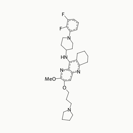 COc1nc2c(NC3CCN(c4cccc(F)c4F)CC3)c3c(nc2cc1OCCCN1CCCC1)CCCC3